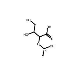 C[C@H](O)OC(C(=O)O)C(O)CO